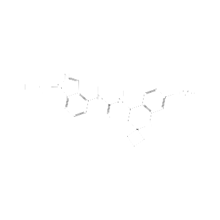 CCOC(=O)n1ncc2c(NC(=O)NC3CC4(CCC4)Oc4cc(OC)ccc43)cccc21